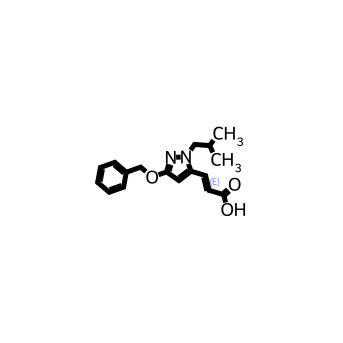 CC(C)Cn1nc(OCc2ccccc2)cc1/C=C/C(=O)O